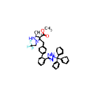 COC(=O)C1=C(Cc2ccc(-c3ccccc3-c3nnn(C(c4ccccc4)(c4ccccc4)c4ccccc4)n3)cc2)N(CC(F)(F)F)NC1C